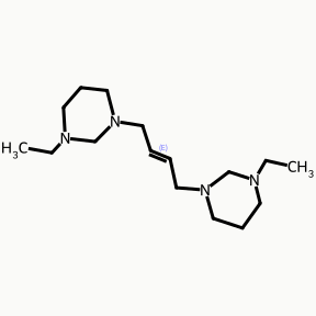 CCN1CCCN(C/C=C/CN2CCCN(CC)C2)C1